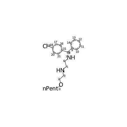 CCCCCOCCNCCN[C@@H](c1ccccc1)c1ccc(Cl)cc1